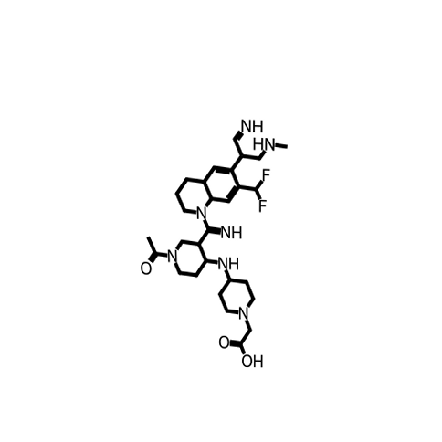 CNCC(C=N)C1=CC2CCCN(C(=N)C3CN(C(C)=O)CCC3NC3CCN(CC(=O)O)CC3)C2C=C1C(F)F